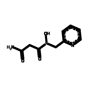 NC(=O)CC(=O)N(O)Cc1ccccn1